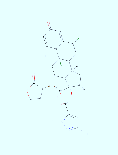 Cc1cc(C(=O)O[C@]2(C(=O)S[C@H]3CCOC3=O)[C@H](C)C[C@H]3[C@@H]4C[C@H](F)C5=CC(=O)C=C[C@]5(C)[C@@]4(F)[C@@H](O)C[C@@]32C)n(C)n1